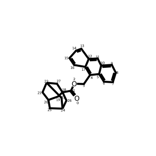 O=C(OCc1c2ccccc2cc2ccccc12)C12CC3CC(CC(C3)C1)C2